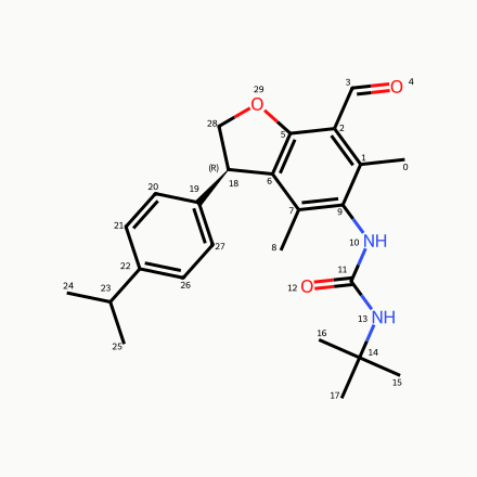 Cc1c(C=O)c2c(c(C)c1NC(=O)NC(C)(C)C)[C@@H](c1ccc(C(C)C)cc1)CO2